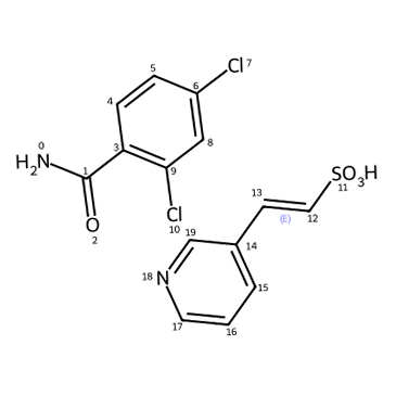 NC(=O)c1ccc(Cl)cc1Cl.O=S(=O)(O)/C=C/c1cccnc1